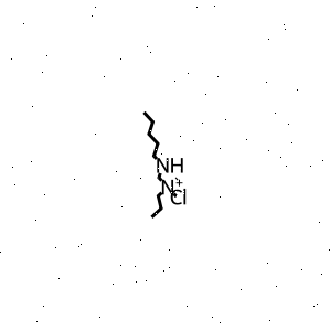 CCCCCNC[N+](C)(Cl)CCC